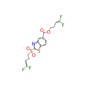 O=C(OCCC=C(F)F)c1ccc2sc(S(=O)(=O)CCC=C(F)F)nc2c1